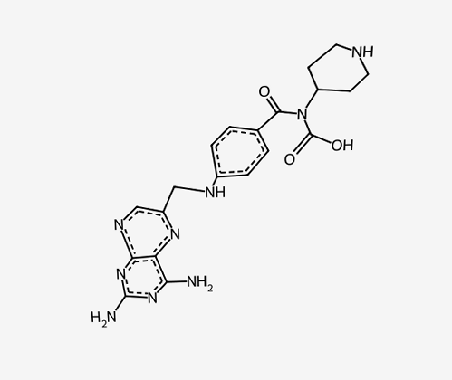 Nc1nc(N)c2nc(CNc3ccc(C(=O)N(C(=O)O)C4CCNCC4)cc3)cnc2n1